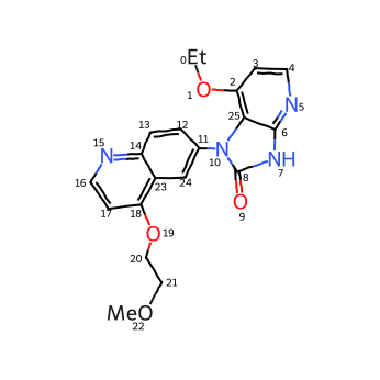 CCOc1ccnc2[nH]c(=O)n(-c3ccc4nccc(OCCOC)c4c3)c12